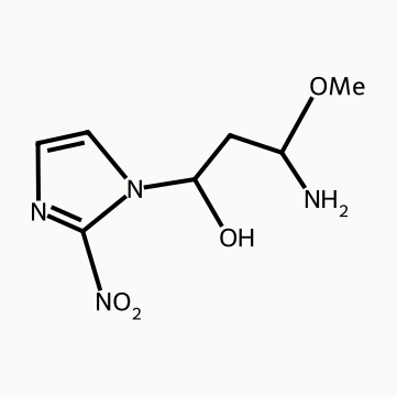 COC(N)CC(O)n1ccnc1[N+](=O)[O-]